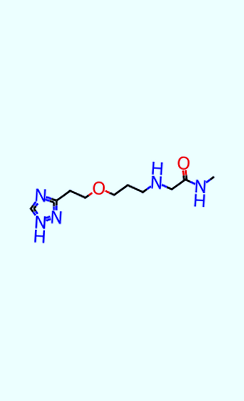 CNC(=O)CNCCCOCCc1nc[nH]n1